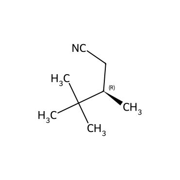 C[C@H](CC#N)C(C)(C)C